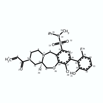 C=CC(=O)N1CCN2Cc3c(S(=O)(=O)N(C)C(C)C)nc(-c4c(O)cccc4F)c(Cl)c3OC[C@H]2C1